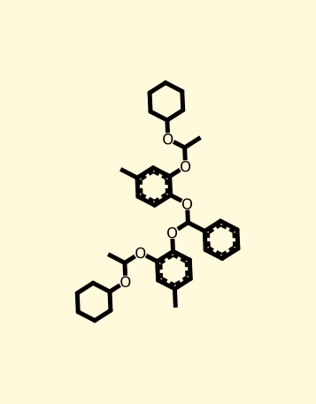 Cc1ccc(OC(Oc2ccc(C)cc2OC(C)OC2CCCCC2)c2ccccc2)c(OC(C)OC2CCCCC2)c1